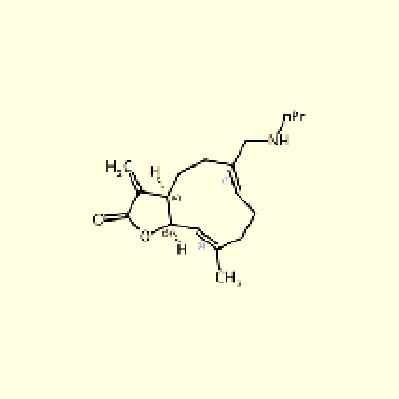 C=C1C(=O)O[C@@H]2/C=C(\C)CC/C=C(\CNCCC)CC[C@H]12